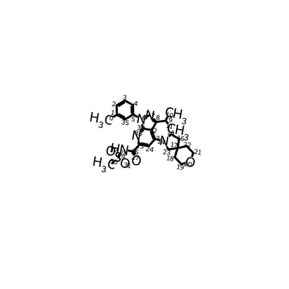 Cc1cccc(-n2nc(C(C)C)c3c(N4CCC5(CCOCC5)C4)cc(C(=O)NS(C)(=O)=O)nc32)c1